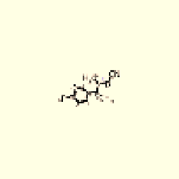 CC(c1ccc(F)nc1)/S(C)=N/C#N